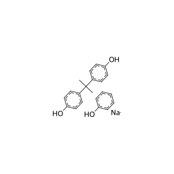 CC(C)(c1ccc(O)cc1)c1ccc(O)cc1.Oc1ccccc1.[Na]